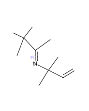 C=CC(C)(C)/N=C(\C)C(C)(C)C